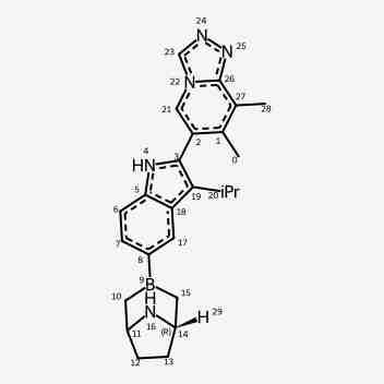 Cc1c(-c2[nH]c3ccc(B4CC5CC[C@@H](C4)N5)cc3c2C(C)C)cn2cnnc2c1C